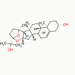 CC(C)(O)[C@]12CC[C@](C)(O1)[C@H]1[C@H](C[C@H]3[C@@H]4CC=C5C[C@@H](O)CC[C@]5(C)[C@H]4CC[C@@]31C)O2